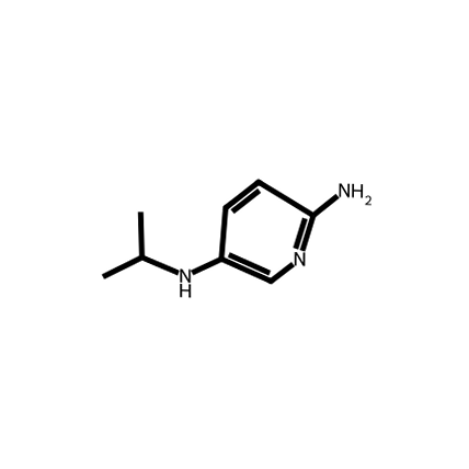 CC(C)Nc1ccc(N)nc1